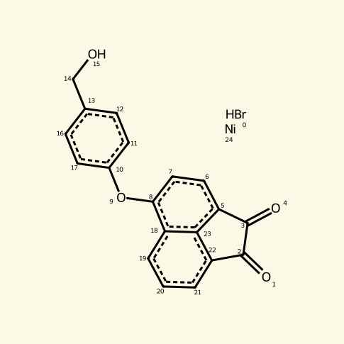 Br.O=C1C(=O)c2ccc(Oc3ccc(CO)cc3)c3cccc1c23.[Ni]